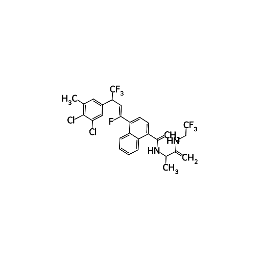 C=C(NC(C)C(=C)NCC(F)(F)F)c1ccc(/C(F)=C/C(c2cc(C)c(Cl)c(Cl)c2)C(F)(F)F)c2ccccc12